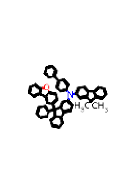 CC1(C)c2ccccc2-c2ccc(N(c3ccc(-c4ccccc4)cc3)c3ccc4c(c3)C(c3ccccc3)(c3ccc5oc6ccccc6c5c3)c3ccccc3-4)cc21